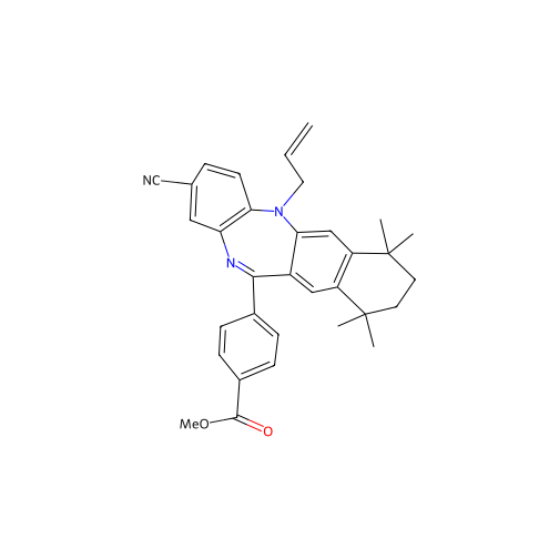 C=CCN1c2ccc(C#N)cc2N=C(c2ccc(C(=O)OC)cc2)c2cc3c(cc21)C(C)(C)CCC3(C)C